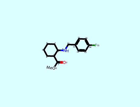 COC(=O)C1CCCCC1NCc1ccc(F)cc1